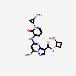 CNc1cc(Nc2cccn([C@@H]3C[C@H]3OC)c2=O)nc2c(C(=O)N[C@H]3CC[C@@H]3OC)cnn12